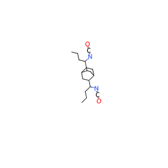 CCCC(N=C=O)C1CC2CCC1CC2C(CCC)N=C=O